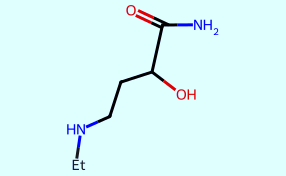 CCNCCC(O)C(N)=O